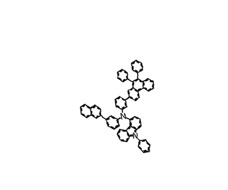 c1ccc(-c2c(-c3ccccc3)c3cc(-c4cccc(N(c5cccc(-c6ccc7ccccc7c6)c5)c5cccc6c5c5ccccc5n6-c5ccccc5)c4)ccc3c3ccccc23)cc1